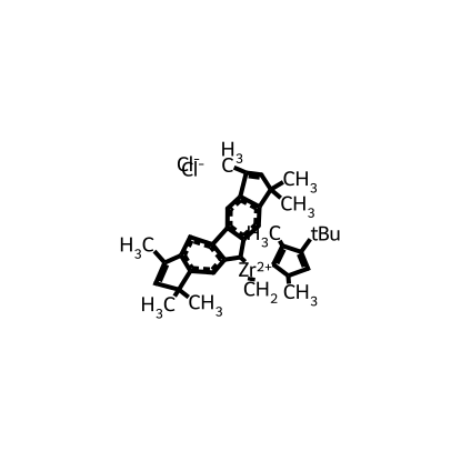 [CH2]=[Zr+2]([C]1=C(C)C(C(C)(C)C)=CC1C)[CH]1c2cc3c(cc2-c2cc4c(cc21)C(C)(C)C=C4C)C(C)=CC3(C)C.[Cl-].[Cl-]